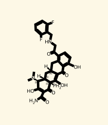 CN(C)[C@@H]1C(O)=C(C(N)=O)C(=O)[C@@]2(P)C(O)=C3C(=O)c4c(O)ccc(C(=O)CNCc5c(F)cccc5F)c4C[C@H]3C[C@@H]12